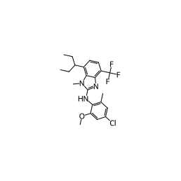 CCC(CC)c1ccc(C(F)(F)F)c2nc(Nc3c(C)cc(Cl)cc3OC)n(C)c12